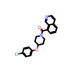 O=C(c1cccc2ccncc12)N1CCC(Oc2ccc(Cl)cc2)CC1